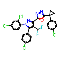 FC(F)c1c(-c2nnc(C3(c4ccc(Cl)cc4)CC3)o2)nn(-c2ccc(Cl)cc2Cl)c1-c1ccc(Cl)cc1